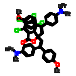 CCCN(CC)c1ccc(C(=CC2(C=C(c3ccc(OCC)cc3)c3ccc(N(CC)CCC)cc3)OC(=O)c3c(Cl)c(Cl)c(Cl)c(Cl)c32)c2ccc(OCC)cc2)cc1